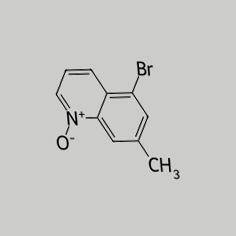 Cc1cc(Br)c2ccc[n+]([O-])c2c1